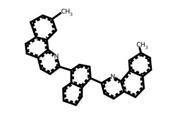 Cc1ccc2ccc3ccc(-c4ccc(-c5ccc6ccc7ccc(C)cc7c6n5)c5ccccc45)nc3c2c1